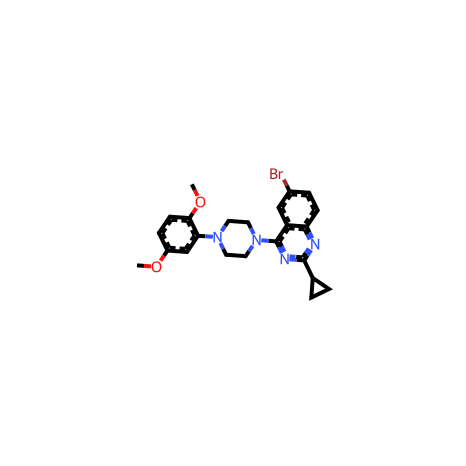 COc1ccc(OC)c(N2CCN(c3nc(C4CC4)nc4ccc(Br)cc34)CC2)c1